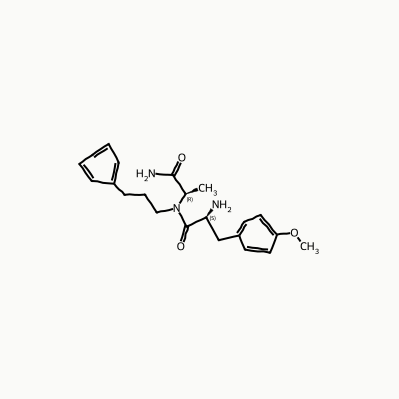 COc1ccc(C[C@H](N)C(=O)N(CCCc2ccccc2)[C@H](C)C(N)=O)cc1